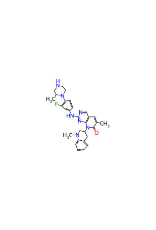 Cc1cc2cnc(Nc3ccc(N4CCNCC4C)c(F)c3)nc2n(C2Cc3ccccc3N(C)C2)c1=O